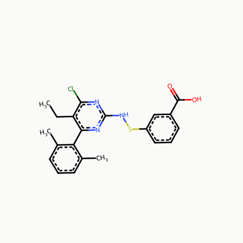 CCc1c(Cl)nc(NSc2cccc(C(=O)O)c2)nc1-c1c(C)cccc1C